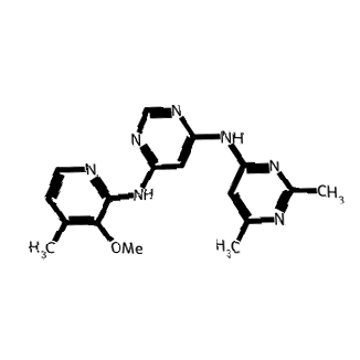 COc1c(C)ccnc1Nc1cc(Nc2cc(C)nc(C)n2)ncn1